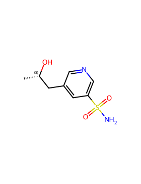 C[C@H](O)Cc1cncc(S(N)(=O)=O)c1